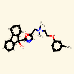 Cc1cccc(OCC[N+](C)(C)Cc2cnc(C3(O)c4ccccc4-c4ccccc43)o2)c1